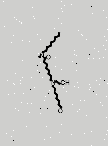 CCCCCCCCCN(C)C(=O)CCCCCCCN(CCO)CCCCCCCC=O